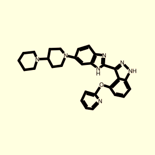 c1ccc(Oc2cccc3[nH]nc(-c4nc5ccc(N6CCC(N7CCCCC7)CC6)cc5[nH]4)c23)nc1